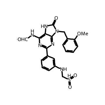 COc1ccccc1Cn1c(=O)[nH]c2c(N[C]=O)nc(-c3cccc(NC[SH](=O)=O)c3)nc21